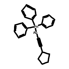 [C](#CC1CCCC1)[Au][PH](c1ccccc1)(c1ccccc1)c1ccccc1